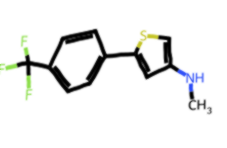 CNc1csc(-c2ccc(C(F)(F)F)cc2)c1